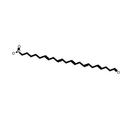 O=[C]CCC=CCC=CCC=CCC=CCC=CCCCCC[N+](=O)[O-]